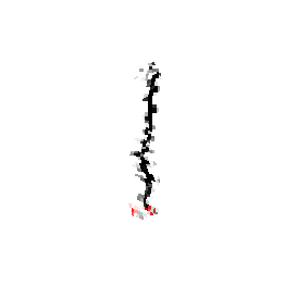 CCCCCCCCCCCCCC=CCCCCC(=O)O